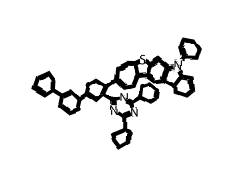 C1=CCCC(N2c3cc4c(cc3C3CCC=CC32)C2=CC=C(C3CCC(C5C=C(c6ccccc6)C=CC5)=CC3c3nc(C5=CCCC=C5)nc(C5CC=CCC5)n3)C=CC2S4)=C1